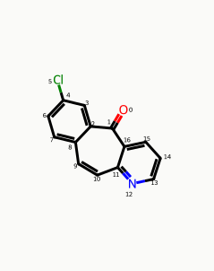 O=c1c2cc(Cl)ccc2ccc2ncccc12